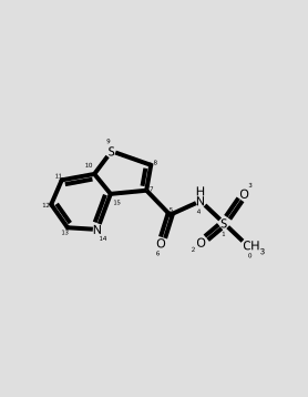 CS(=O)(=O)NC(=O)c1csc2cccnc12